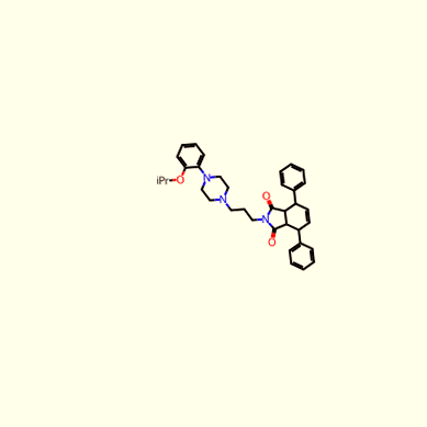 CC(C)Oc1ccccc1N1CCN(CCCN2C(=O)C3C(c4ccccc4)C=CC(c4ccccc4)C3C2=O)CC1